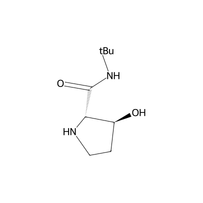 CC(C)(C)NC(=O)[C@H]1NCC[C@@H]1O